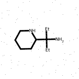 CCC(N)(CC)C1CCCCN1